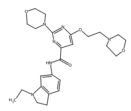 CCN1CCc2ccc(NC(=O)c3cc(OCCN4CCOCC4)nc(N4CCOCC4)n3)cc21